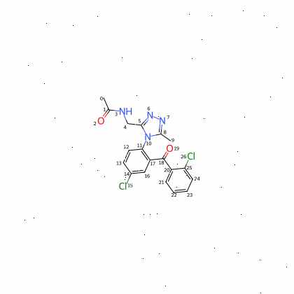 CC(=O)NCc1nnc(C)n1-c1ccc(Cl)cc1C(=O)c1ccccc1Cl